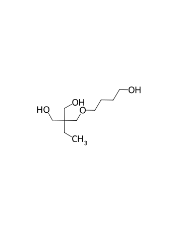 CCC(CO)(CO)COCCCCO